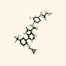 Cc1[nH]c2c(-c3cc(C(F)(F)F)ccc3OCC3CC3)ncnc2c1C(=O)N[C@@H]1CC[C@H](NC(=O)CO)C[C@H]1C